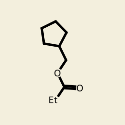 [CH2]CC(=O)OCC1CCCC1